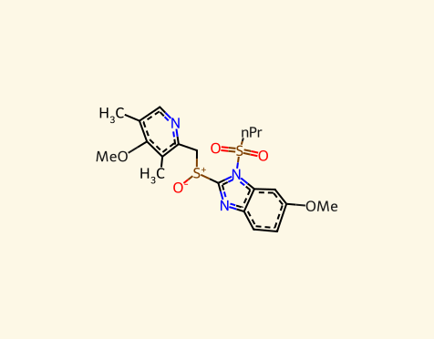 CCCS(=O)(=O)n1c([S+]([O-])Cc2ncc(C)c(OC)c2C)nc2ccc(OC)cc21